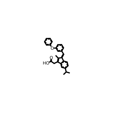 CC1=C(CC(=O)O)c2cc(C(C)C)ccc2/C1=C/c1cccc(Oc2ccccc2)c1